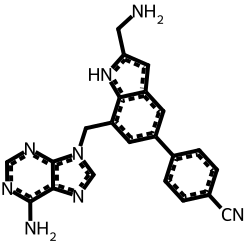 N#Cc1ccc(-c2cc(Cn3cnc4c(N)ncnc43)c3[nH]c(CN)cc3c2)cc1